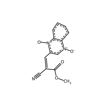 COC(=O)C(C#N)=Cc1c[n+]([O-])c2ccccc2[n+]1[O-]